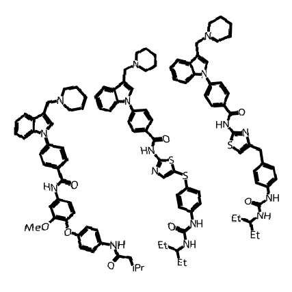 CCC(CC)NC(=O)Nc1ccc(Cc2csc(NC(=O)c3ccc(-n4cc(CN5CCCCC5)c5ccccc54)cc3)n2)cc1.CCC(CC)NC(=O)Nc1ccc(Sc2cnc(NC(=O)c3ccc(-n4cc(CN5CCCCC5)c5ccccc54)cc3)s2)cc1.COc1cc(NC(=O)c2ccc(-n3cc(CN4CCCCC4)c4ccccc43)cc2)ccc1Oc1ccc(NC(=O)CC(C)C)cc1